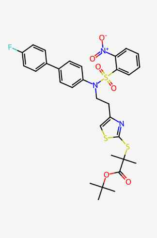 CC(C)(C)OC(=O)C(C)(C)Sc1nc(CCN(c2ccc(-c3ccc(F)cc3)cc2)S(=O)(=O)c2ccccc2[N+](=O)[O-])cs1